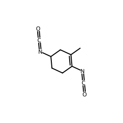 CC1=C(N=C=O)CCC(N=C=O)C1